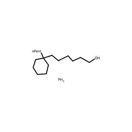 CCCCCC1(CCCCCCO)CCCCC1.P